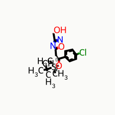 CC(C)(C)[Si](C)(C)O[C@@H](Cc1nc(CO)no1)c1ccc(Cl)cc1